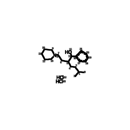 CC(C)CCC(CCN1CCCCC1)C(O)c1ccccc1.Cl.Cl